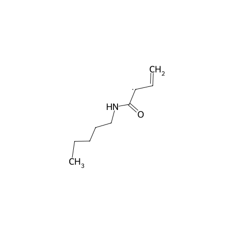 C=C[CH]C(=O)NCCCCC